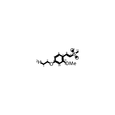 [2H]CCOc1ccc(C=CS(C)(=O)=O)c(OC)c1